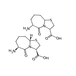 NC1CCCC2SCC(C(=O)O)N2C1=O.N[C@H]1CCC[C@@H]2SC[C@@H](C(=O)O)N2C1=O